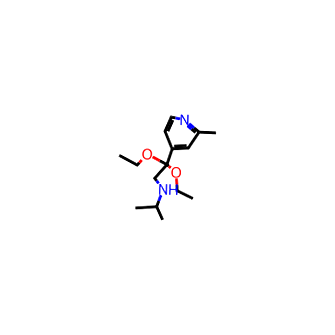 CCOC(CNC(C)C)(OCC)c1ccnc(C)c1